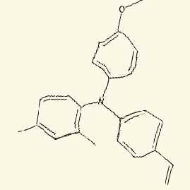 C=Cc1ccc(N(c2ccc(OC)cc2)c2ccc(C)cc2C)cc1